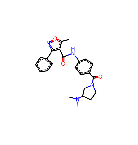 Cc1onc(-c2ccccc2)c1C(=O)Nc1ccc(C(=O)N2CCC(N(C)C)C2)cc1